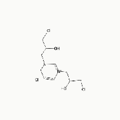 OC(CCl)CN1C=[N+](CC(O)CCl)C=CC1.[Cl-]